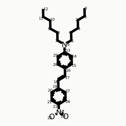 CCCCCCN(CCCCCC)c1ccc(C=Cc2ccc([N+](=O)[O-])cc2)cc1